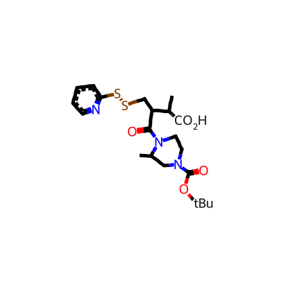 CC(C(=O)O)C(CSSc1ccccn1)C(=O)N1CCN(C(=O)OC(C)(C)C)CC1C